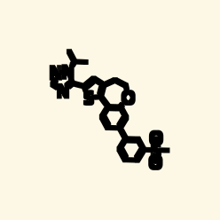 CC(C)n1ncnc1-c1cc2c(s1)-c1ccc(-c3cccc(S(C)(=O)=O)c3)cc1OCC2